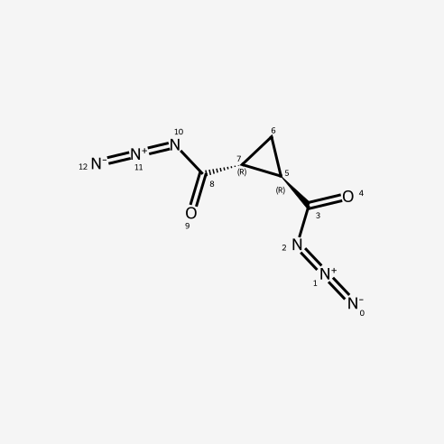 [N-]=[N+]=NC(=O)[C@@H]1C[C@H]1C(=O)N=[N+]=[N-]